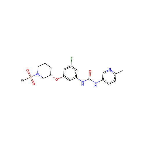 Cc1ccc(NC(=O)Nc2cc(F)cc(O[C@H]3CCCN(S(=O)(=O)C(C)C)C3)c2)cn1